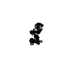 CCOC(=O)[C@H](Cc1ccc(-n2c([C@@H]3CCN3C(=O)OC(C)(C)C)nc3cccnc32)cc1)NC1=C(Br)C(=O)C12CCCCC2